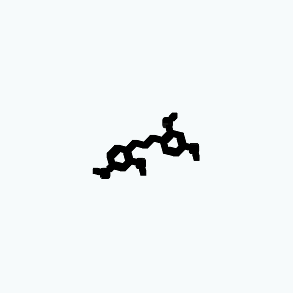 COc1ccc(CCCc2ccc(OC)cc2OC)c(OC)c1